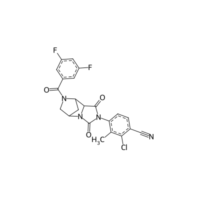 Cc1c(N2C(=O)C3C4CC(CN4C(=O)c4cc(F)cc(F)c4)N3C2=O)ccc(C#N)c1Cl